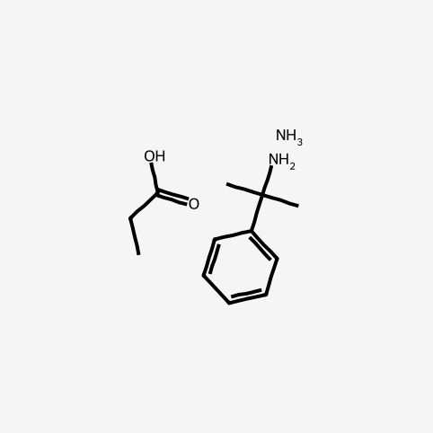 CC(C)(N)c1ccccc1.CCC(=O)O.N